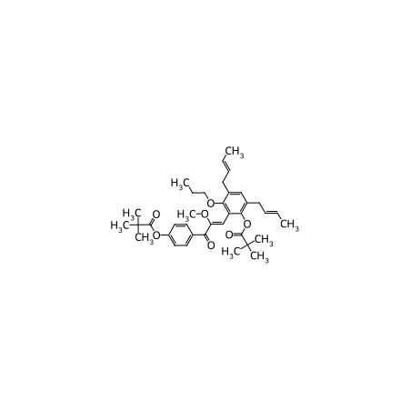 CC=CCc1cc(CC=CC)c(OC(=O)C(C)(C)C)c(C=C(OC)C(=O)c2ccc(OC(=O)C(C)(C)C)cc2)c1OCCC